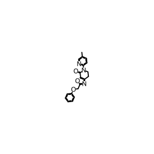 Cc1ccc(N2CCc3nc(COc4ccccc4)oc3C2=O)nc1